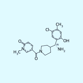 Cc1cc(O)c([C@H](N)C2CCN(C(=O)c3ccc(=O)n(C)c3)CC2)cc1Cl